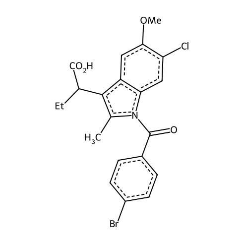 CCC(C(=O)O)c1c(C)n(C(=O)c2ccc(Br)cc2)c2cc(Cl)c(OC)cc12